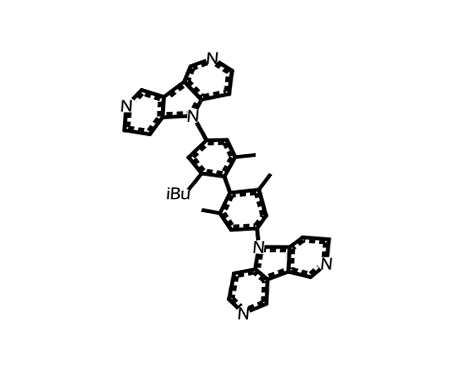 CCC(C)c1cc(-n2c3ccncc3c3cnccc32)cc(C)c1-c1c(C)cc(-n2c3ccncc3c3cnccc32)cc1C